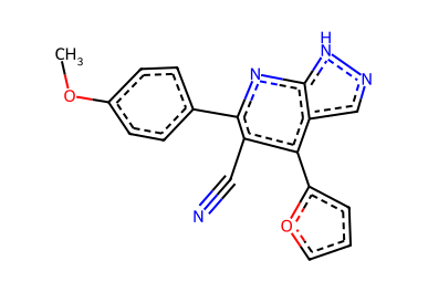 COc1ccc(-c2nc3[nH]ncc3c(-c3ccco3)c2C#N)cc1